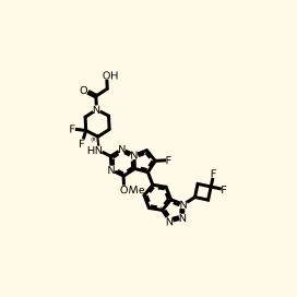 COc1nc(N[C@@H]2CCN(C(=O)CO)CC2(F)F)nn2cc(F)c(-c3ccc4nnn(C5CC(F)(F)C5)c4c3)c12